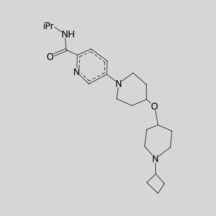 CC(C)NC(=O)c1ccc(N2CCC(OC3CCN(C4CCC4)CC3)CC2)cn1